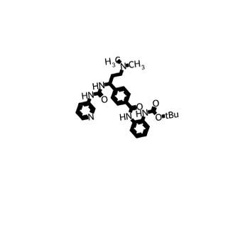 CN(C)CCC(NC(=O)Nc1cccnc1)c1ccc(C(=O)Nc2ccccc2NC(=O)OC(C)(C)C)cc1